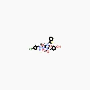 C[C@H]1[C@@H]2N(C(=O)NCc3ccc(Cl)cc3)OCC(=O)N2[C@@H](Cc2ccc(O)cc2)C(=O)N1Cc1csc2ccccc12